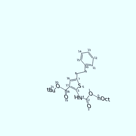 CCCCCCCCOC(=O)Nc1sc(CCc2ccccc2)cc1C(=O)OC(C)(C)C